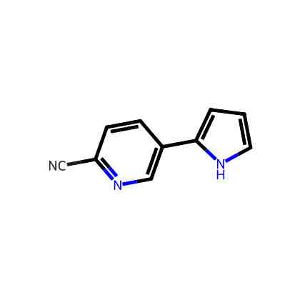 N#Cc1ccc(-c2ccc[nH]2)cn1